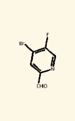 O=Cc1cc(Br)c(F)cn1